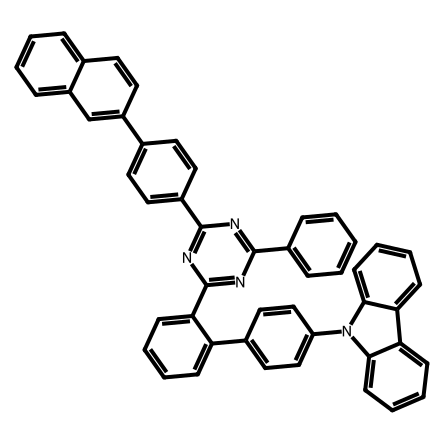 c1ccc(-c2nc(-c3ccc(-c4ccc5ccccc5c4)cc3)nc(-c3ccccc3-c3ccc(-n4c5ccccc5c5ccccc54)cc3)n2)cc1